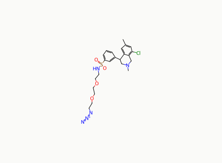 Cc1cc(Cl)c2c(c1)C(c1cccc(S(=O)(=O)NCCOCCOCCN=[N+]=[N-])c1)CN(C)C2